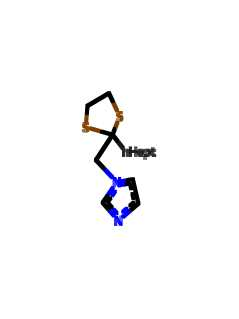 CCCCCCCC1(Cn2ccnc2)SCCS1